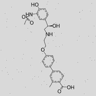 Cc1cc(-c2ccc(OCCNC[C@H](O)c3ccc(O)c(NS(C)(=O)=O)c3)cc2)ccc1C(=O)O